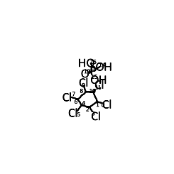 ClC1C(Cl)C(Cl)C(Cl)C(Cl)C1Cl.O=P(O)(O)O